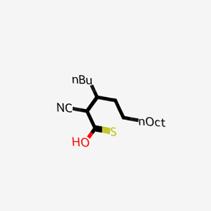 CCCCCCCCCCC(CCCC)C(C#N)C(O)=S